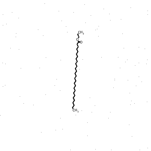 CCCCCCCCCCCCCCCCCCCCCCCCCCCCC(=O)OCCC